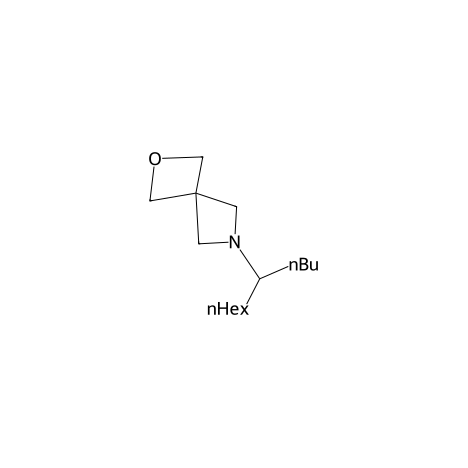 CCCCCCC(CCCC)N1CC2(COC2)C1